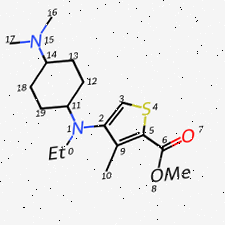 CCN(c1csc(C(=O)OC)c1C)C1CCC(N(C)C)CC1